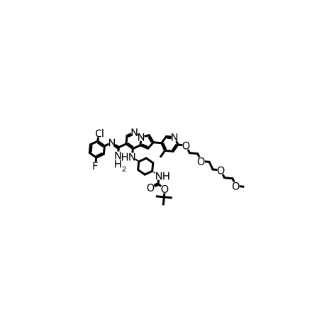 COCCOCCOCCOc1cc(C)c(-c2cc3c(N[C@H]4CC[C@H](NC(=O)OC(C)(C)C)CC4)c(C(N)=Nc4cc(F)ccc4Cl)cnn3c2)cn1